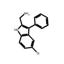 NCc1[nH]c2ccc(Cl)cc2c1-c1ccccc1